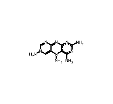 Nc1nc(N)c2c(n1)N=C1N=CN(N)C=C1N2N